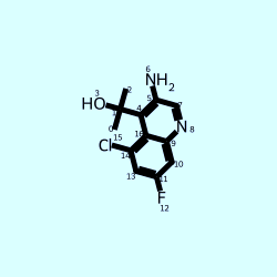 CC(C)(O)c1c(N)cnc2cc(F)cc(Cl)c12